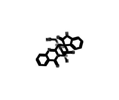 O=C1N[C@@]2(CO)c3nc4ccccc4c(=O)n3[C@@H]1C[C@]21C(=O)Nc2ccccc21